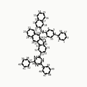 c1ccc(-c2ccc(N(c3ccc4ccccc4c3)c3c4ccccc4cc4c3oc3ccc(-c5nc(-c6ccccc6)nc(-c6ccccc6)n5)cc34)cc2)cc1